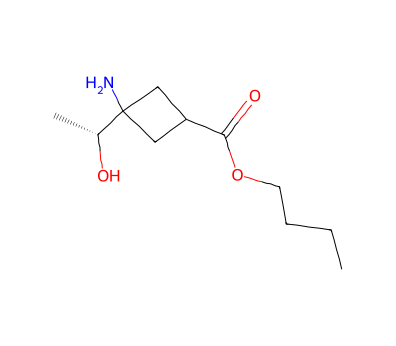 CCCCOC(=O)C1CC(N)([C@@H](C)O)C1